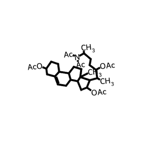 CC(=O)OC1CCC2C(=CCC3C2CCC2(C)C3CC(OC(C)=O)C2C(C)C(CCC(C)N(C(C)=O)C(C)=O)OC(C)=O)C1